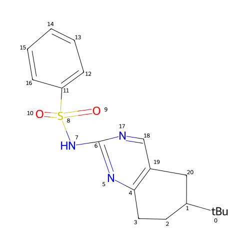 CC(C)(C)C1CCc2nc(NS(=O)(=O)c3ccccc3)ncc2C1